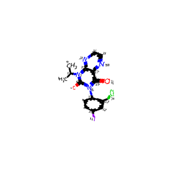 CC(C)n1c(=O)n(-c2ccc(I)cc2Cl)c(=O)c2nccnc21